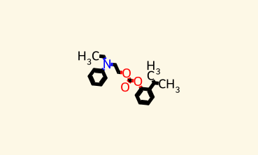 CCN(CCOC(=O)Oc1ccccc1C(C)C)c1ccccc1